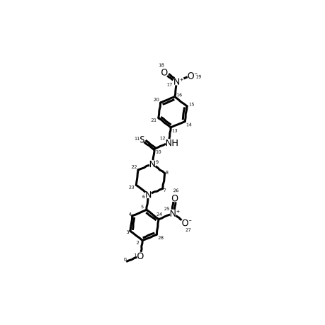 COc1ccc(N2CCN(C(=S)Nc3ccc([N+](=O)[O-])cc3)CC2)c([N+](=O)[O-])c1